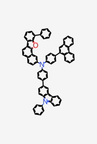 c1ccc(-c2cccc3c2oc2c4cc(N(c5ccc(-c6ccc7c(c6)c6ccccc6n7-c6ccccc6)cc5)c5ccc(-c6cc7ccccc7c7ccccc67)cc5)ccc4ccc32)cc1